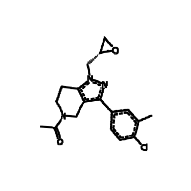 CC(=O)N1CCc2c(c(-c3ccc(Cl)c(C)c3)nn2C[C@@H]2CO2)C1